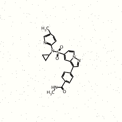 CNC(=O)c1ccc(-c2cnn3ccc(S(=O)(=O)N(c4ccc(C)cn4)C4CC4)cc23)cc1